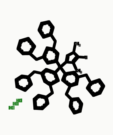 CC1=[C]([Ti])C(C)C=C1[Si](c1cc(Cc2ccccc2)cc(Cc2ccccc2)c1)(c1cc(Cc2ccccc2)cc(Cc2ccccc2)c1)c1cc(Cc2ccccc2)cc(Cc2ccccc2)c1.Cl.Cl.Cl